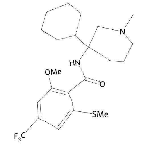 COc1cc(C(F)(F)F)cc(SC)c1C(=O)NC1(C2CCCCC2)CCCN(C)C1